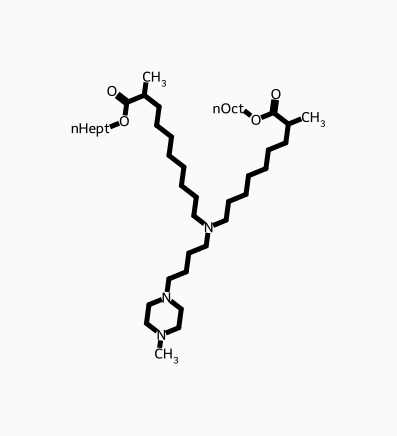 CCCCCCCCOC(=O)C(C)CCCCCCCN(CCCCCCCCC(C)C(=O)OCCCCCCC)CCCCN1CCN(C)CC1